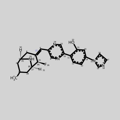 CC1C[C@H]2C/C(=C/c3cnc(-c4ccc(-n5ccnc5)cc4O)cn3)[C@@H](F)[C@@H](C1)N2